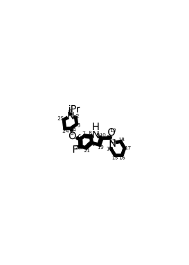 CC(C)N1CCC(Oc2cc3[nH]c(C(=O)N4CCCCC4)cc3cc2F)CC1